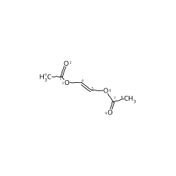 CC(=O)OC=COC(C)=O